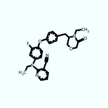 CCN(c1ccc(Oc2ccc(CC3COCC(=O)N3CC)cc2)c(F)c1)c1ncccc1C#N